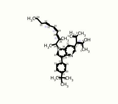 C=C(C)/C(=C(/C)O)c1cnc2c(-c3ccc(C(C)(C)C)cc3)cn(C(C)/C(C)=C/C=C\C=C\CCC)c2c1